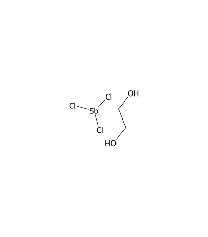 OCCO.[Cl][Sb]([Cl])[Cl]